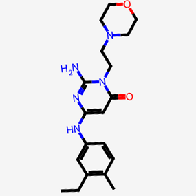 CCc1cc(Nc2cc(=O)n(CCN3CCOCC3)c(N)n2)ccc1C